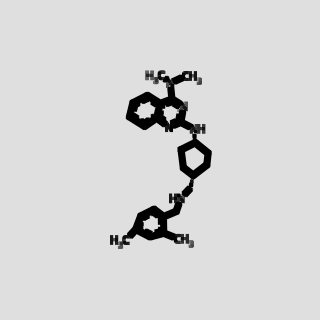 Cc1ccc(CNC[C@H]2CC[C@@H](Nc3nc(N(C)C)c4ccccc4n3)CC2)c(C)c1